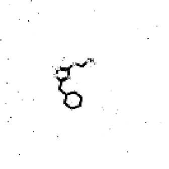 CCOc1nsc(CC2CCCCC2)n1